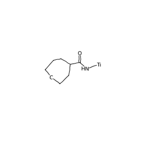 O=C([NH][Ti])C1CCCCCC1